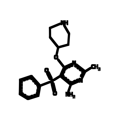 Cc1nc(N)c(S(=O)(=O)c2ccccc2)c(OC2CCNCC2)n1